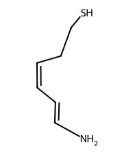 N/C=C/C=C\CCS